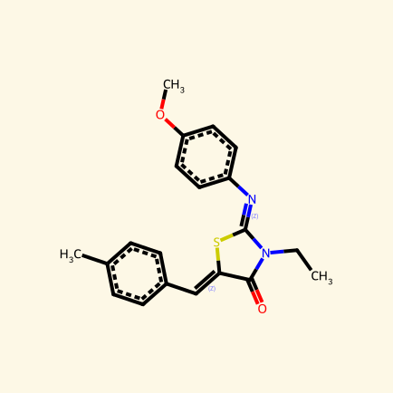 CCN1C(=O)/C(=C/c2ccc(C)cc2)S/C1=N\c1ccc(OC)cc1